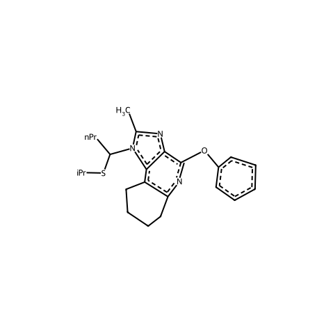 CCCC(SC(C)C)n1c(C)nc2c(Oc3ccccc3)nc3c(c21)CCCC3